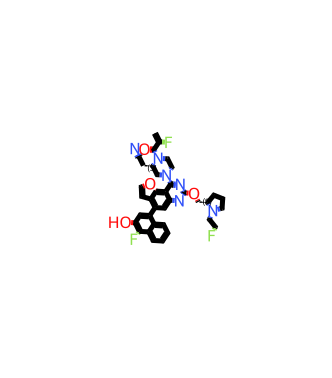 C=C(F)C(=O)N1CCN(c2nc(OC[C@@H]3CCCN3CCF)nc3cc(-c4cc(O)c(F)c5ccccc45)c4ccoc4c23)C[C@@H]1CC#N